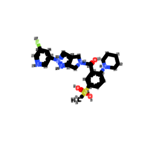 CS(=O)(=O)c1ccc(N2CCCCC2)c(C(=O)N2Cc3cn(-c4cncc(F)c4)nc3C2)c1